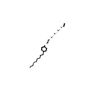 CCCCCCCCCc1ccc(OCCOOOOOOOO/C=C\O)cc1